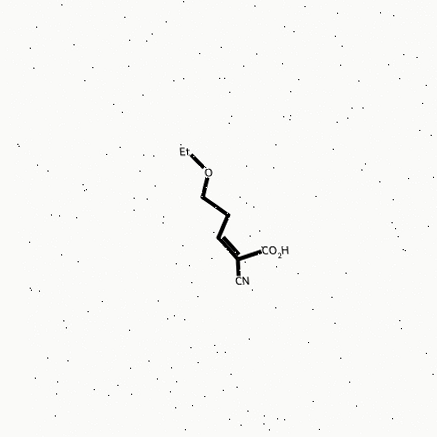 CCOCCC=C(C#N)C(=O)O